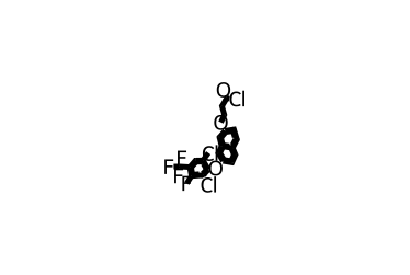 O=C(Cl)CCOc1ccc2ccc(Oc3c(Cl)cc(C(F)(F)F)c(F)c3Cl)cc2c1